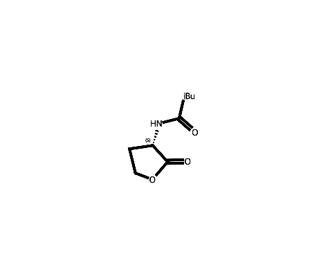 CCC(C)C(=O)N[C@H]1CCOC1=O